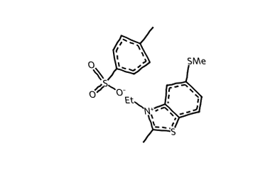 CC[n+]1c(C)sc2ccc(SC)cc21.Cc1ccc(S(=O)(=O)[O-])cc1